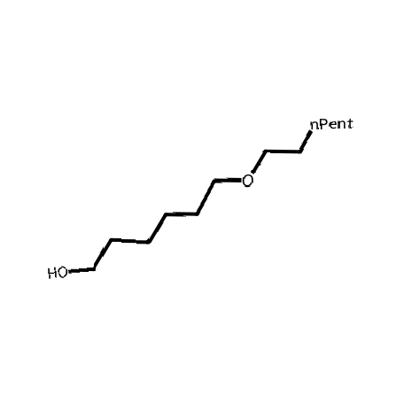 CCCCCCCOCCCCCCO